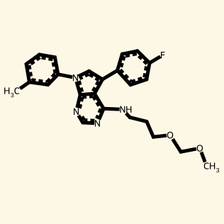 COCOCCCNc1ncnc2c1c(-c1ccc(F)cc1)cn2-c1cccc(C)c1